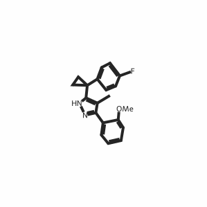 COc1ccccc1-c1n[nH]c(C2(c3ccc(F)cc3)CC2)c1C